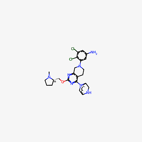 CN1CCC[C@H]1COc1nc2c(c(N3CC4CCCC3CN4)n1)CCN(c1cc(N)cc(Cl)c1Cl)C2